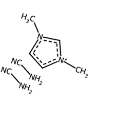 Cn1cc[n+](C)c1.N#CN.N#CN